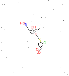 C=CCc1c(OCCCSc2ccc(CC(=O)OC)cc2Cl)ccc(CCC=NO)c1O